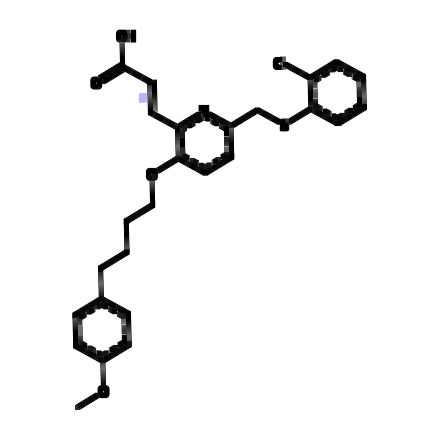 COc1ccc(CCCCOc2ccc(CSc3ccccc3Cl)nc2/C=C/C(=O)O)cc1